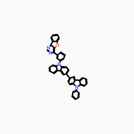 c1ccc(-n2c3ccccc3c3cc(-c4ccc5c(c4)c4ccccc4n5-c4cccc(-c5ncnc6c5oc5ccccc56)c4)ccc32)cc1